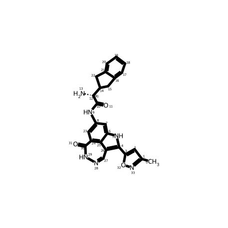 Cc1cc(-c2[nH]c3cc(NC(=O)[C@H](N)C4Cc5ccccc5C4)cc4c3c2C=NNC4=O)on1